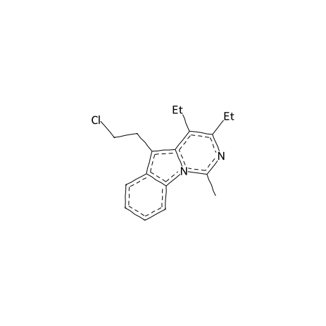 CCc1nc(C)n2c(c1CC)c(CCCl)c1ccccc12